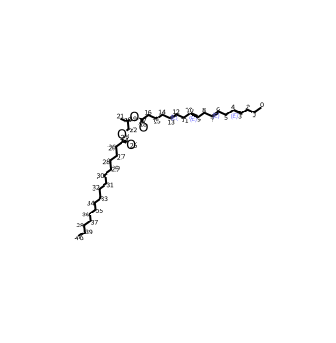 CCC/C=C/C/C=C/C/C=C/C/C=C/CCCC(=O)OC(C)COC(=O)CCCCCCCCCCCCCCC